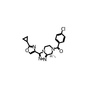 C[C@@H]1c2nnc(-c3coc(C4CC4)n3)n2CCN1C(=O)c1ccc(Cl)cc1